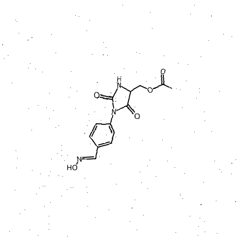 CC(=O)OCC1NC(=O)N(c2ccc(C=NO)cc2)C1=O